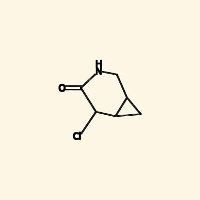 O=C1NCC2CC2C1Cl